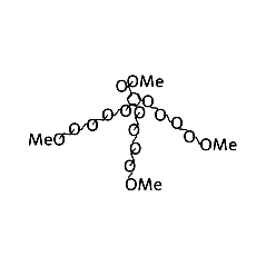 COCCOCCOCCOCCOc1cc(C(=O)OC)cc(OCCOCCOCCOCCOC)c1OCCOCCOCCOCCOC